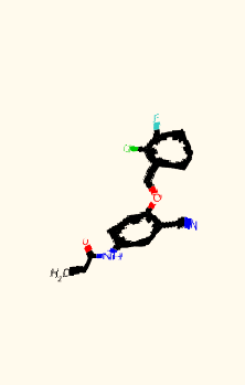 C=CC(=O)Nc1ccc(OCc2cccc(F)c2Cl)c(C#N)c1